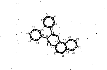 C1=C(c2ccccc2)C(c2ccccc2)Oc2ccc3ccccc3c21